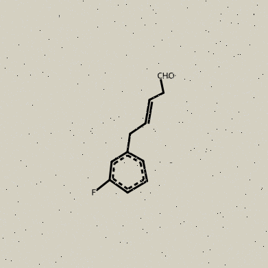 O=[C]C/C=C/Cc1cccc(F)c1